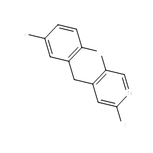 Clc1cc2c(cn1)Oc1ccc(Br)cc1C2